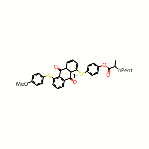 CCCCCC(C)C(=O)Oc1ccc(SC2=CC=CC3C(=O)c4c(Sc5ccc(OC)cc5)cccc4C(=O)[C@H]23)cc1